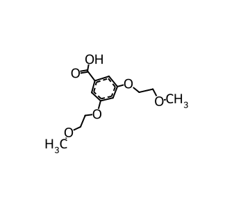 COCCOc1cc(OCCOC)cc(C(=O)O)c1